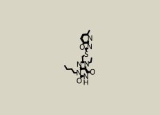 CCCCn1c(=O)[nH]c(=O)c2c1nc(CSc1nc3nc(C)ccc3o1)n2CC